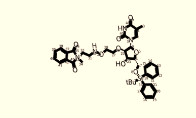 Cc1cn([C@@H]2O[C@H](CO[Si](c3ccccc3)(c3ccccc3)C(C)(C)C)[C@@H](O)[C@H]2OCCONCC[N+]2(C)C(=O)c3ccccc3C2=O)c(=O)[nH]c1=O